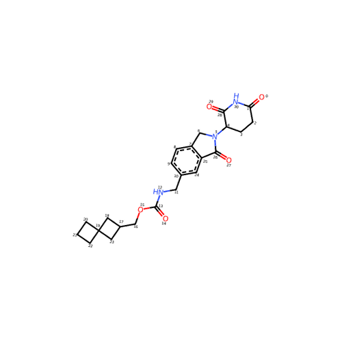 O=C1CCC(N2Cc3ccc(CNC(=O)OCC4CC5(CCC5)C4)cc3C2=O)C(=O)N1